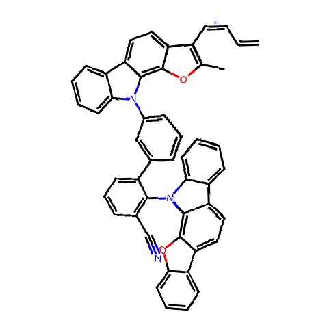 C=C/C=C\c1c(C)oc2c1ccc1c3ccccc3n(-c3cccc(-c4cccc(C#N)c4-n4c5ccccc5c5ccc6c7ccccc7oc6c54)c3)c12